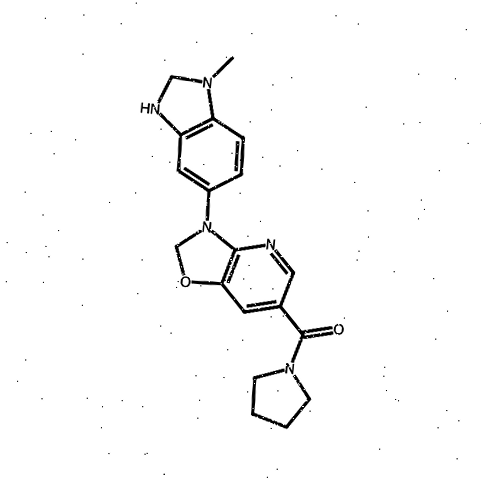 CN1CNc2cc(N3COc4cc(C(=O)N5CCCC5)cnc43)ccc21